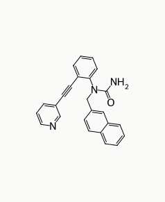 NC(=O)N(Cc1ccc2ccccc2c1)c1ccccc1C#Cc1cccnc1